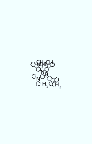 CC1(C)c2ccccc2-c2ccc(N3c4cc5c(cc4B4c6cc7c(cc6-c6cc(N(c8ccccc8)c8ccccc8)cc3c64)C(C)(C)c3ccccc3-7)-c3ccccc3C5(C)C)cc21